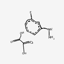 NNc1cccc(F)c1.O=C(O)C(=O)O